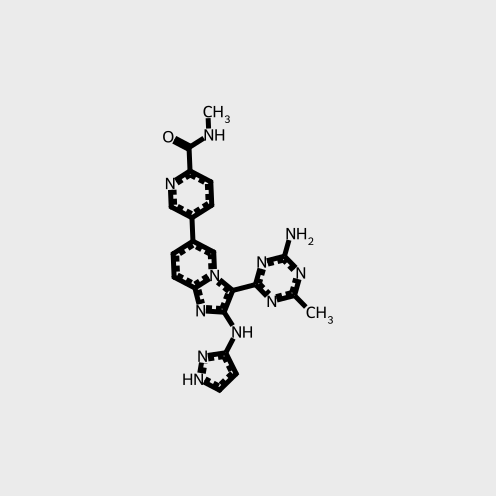 CNC(=O)c1ccc(-c2ccc3nc(Nc4cc[nH]n4)c(-c4nc(C)nc(N)n4)n3c2)cn1